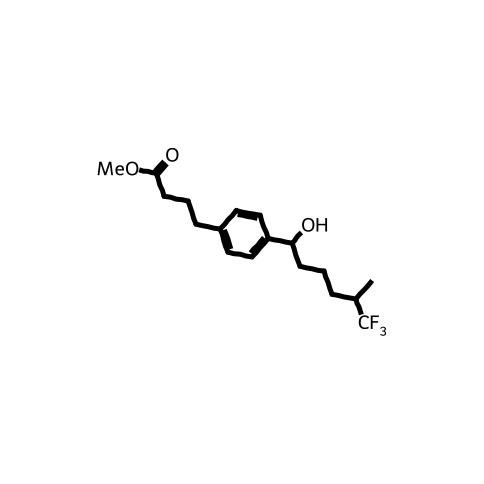 COC(=O)CCCc1ccc(C(O)CCCC(C)C(F)(F)F)cc1